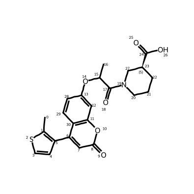 Cc1sccc1-c1cc(=O)oc2cc(OC(C)C(=O)N3CCC[C@H](C(=O)O)C3)ccc12